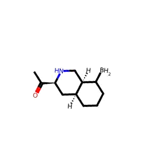 BC1CCC[C@H]2C[C@@H](C(C)=O)NC[C@@H]12